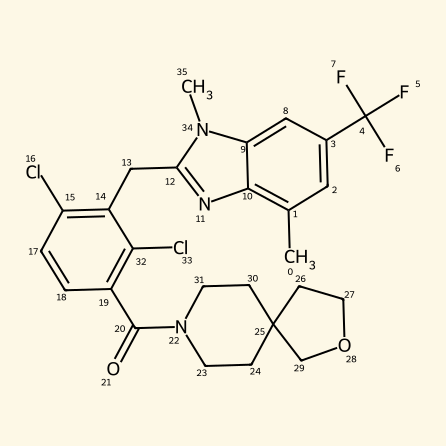 Cc1cc(C(F)(F)F)cc2c1nc(Cc1c(Cl)ccc(C(=O)N3CCC4(CCOC4)CC3)c1Cl)n2C